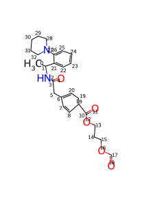 CC(NC(=O)Cc1ccc(C(=O)OCCCOC=O)cc1)c1ccccc1N1CCCCC1